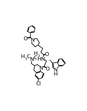 CN(C)CC1Cc2cc(Cl)ccc2N(C(=O)[C@@H](Cc2c[nH]c3ccccc23)NC(=O)CCC2CCN(C(=O)c3ccccc3)CC2)C1